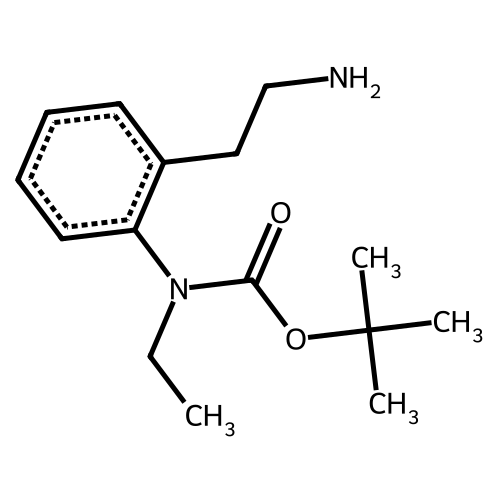 CCN(C(=O)OC(C)(C)C)c1ccccc1CCN